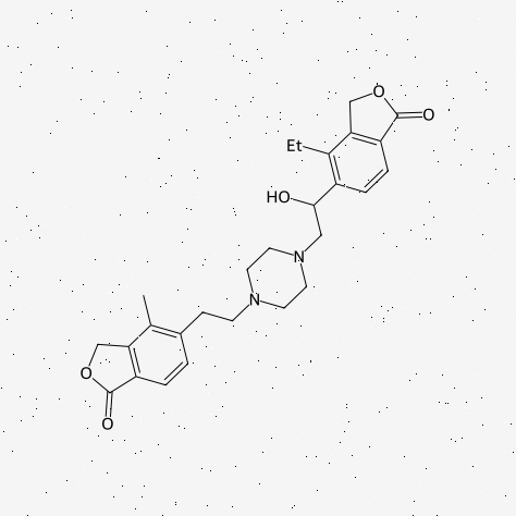 CCc1c(C(O)CN2CCN(CCc3ccc4c(c3C)COC4=O)CC2)ccc2c1COC2=O